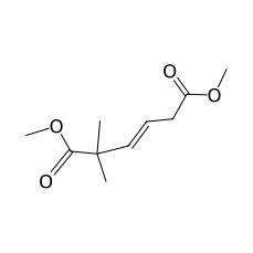 COC(=O)CC=CC(C)(C)C(=O)OC